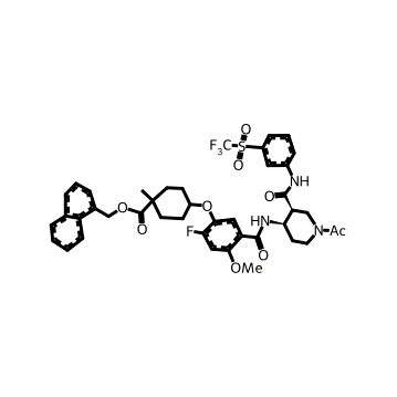 COc1cc(F)c(OC2CCC(C)(C(=O)OCc3cccc4ccccc34)CC2)cc1C(=O)N[C@@H]1CCN(C(C)=O)C[C@@H]1C(=O)Nc1cccc(S(=O)(=O)C(F)(F)F)c1